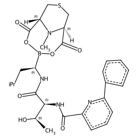 CC(C)C[C@H](NC(=O)[C@@H](NC(=O)c1cccc(-c2ccccc2)n1)[C@@H](C)O)B1OC(=O)[C@@H]2CSC[C@@H](C(=O)O1)N2C